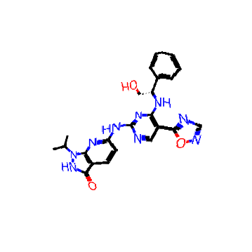 CC(C)n1[nH]c(=O)c2ccc(Nc3ncc(-c4ncno4)c(N[C@H](CO)c4ccccc4)n3)nc21